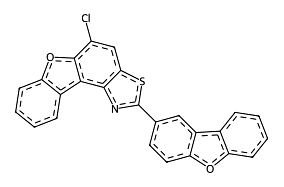 Clc1cc2sc(-c3ccc4oc5ccccc5c4c3)nc2c2c1oc1ccccc12